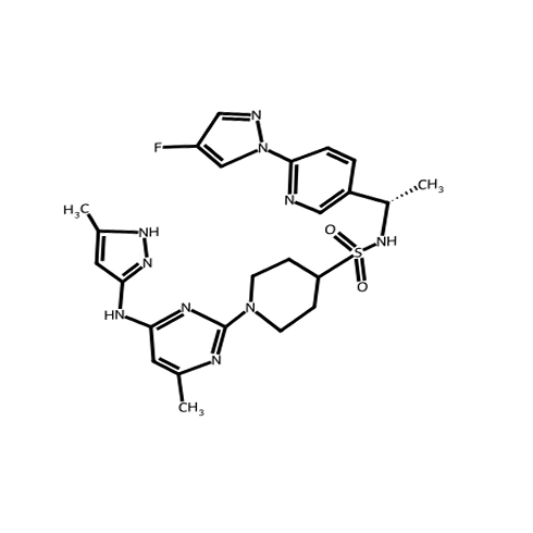 Cc1cc(Nc2cc(C)[nH]n2)nc(N2CCC(S(=O)(=O)N[C@@H](C)c3ccc(-n4cc(F)cn4)nc3)CC2)n1